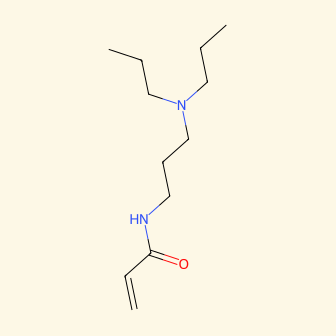 C=CC(=O)NCCCN(CCC)CCC